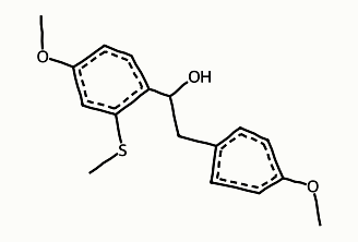 COc1ccc(CC(O)c2ccc(OC)cc2SC)cc1